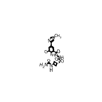 Cn1cnc(-c2cc(Cl)c(F)c(C(=O)NNS(=O)(=O)C[C@H]3C[C@@H](NC(N)=O)C3)c2)c1